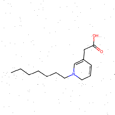 CCCCCCCN1C=C(CC(=O)O)C=CC1